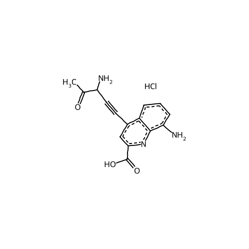 CC(=O)C(N)C#Cc1cc(C(=O)O)nc2c(N)cccc12.Cl